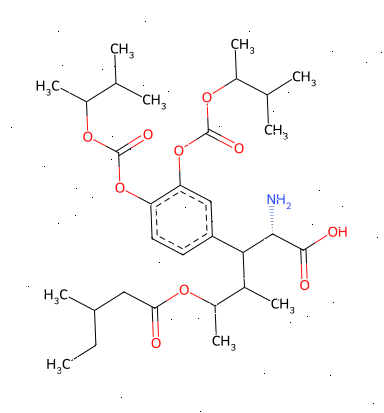 CCC(C)CC(=O)OC(C)C(C)C(c1ccc(OC(=O)OC(C)C(C)C)c(OC(=O)OC(C)C(C)C)c1)[C@H](N)C(=O)O